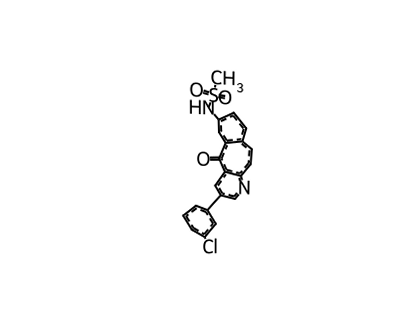 CS(=O)(=O)Nc1ccc2ccc3ncc(-c4cccc(Cl)c4)cc3c(=O)c2c1